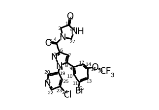 O=C1CN(C(=O)c2cc(-c3cc(Br)cc(OC(F)(F)F)c3)n(-c3cncc(Cl)c3)n2)CN1